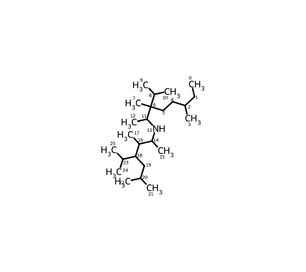 CCC(C)CCC(C)(C(C)C)C(C)NC(C)C(C)C(CC(C)C)C(C)C